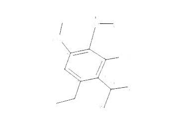 CCc1cc(OC)c(OC)c(F)c1C(C)C